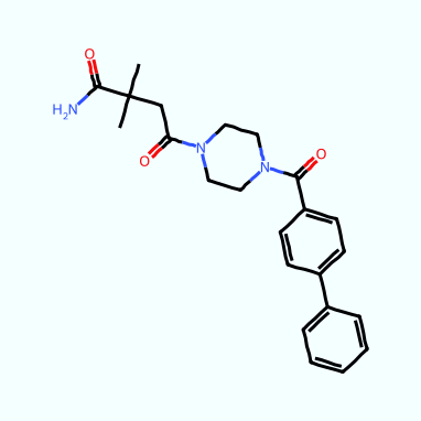 CC(C)(CC(=O)N1CCN(C(=O)c2ccc(-c3ccccc3)cc2)CC1)C(N)=O